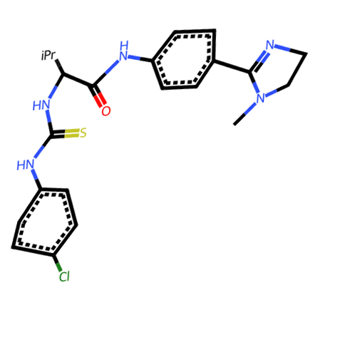 CC(C)C(NC(=S)Nc1ccc(Cl)cc1)C(=O)Nc1ccc(C2=NCCN2C)cc1